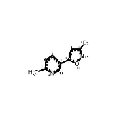 CCc1cc(-c2ccc(C)nc2)on1